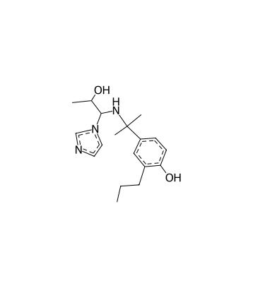 CCCc1cc(C(C)(C)NC(C(C)O)n2ccnc2)ccc1O